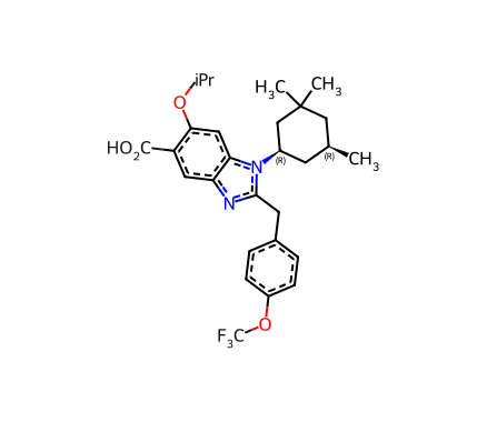 CC(C)Oc1cc2c(cc1C(=O)O)nc(Cc1ccc(OC(F)(F)F)cc1)n2[C@@H]1C[C@H](C)CC(C)(C)C1